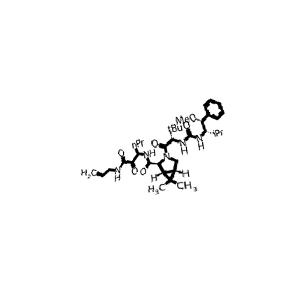 C=CCNC(=O)C(=O)C(CCC)NC(=O)[C@@H]1[C@@H]2[C@H](CN1C(=O)[C@@H](NC(=O)N[C@@H](C(C)C)[C@H](OC)c1ccccc1)C(C)(C)C)C2(C)C